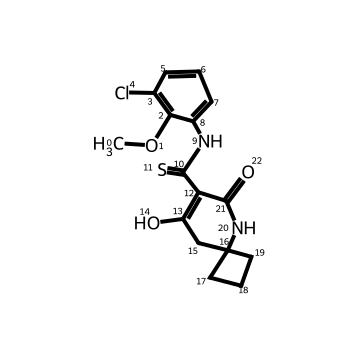 COc1c(Cl)cccc1NC(=S)C1=C(O)CC2(CCC2)NC1=O